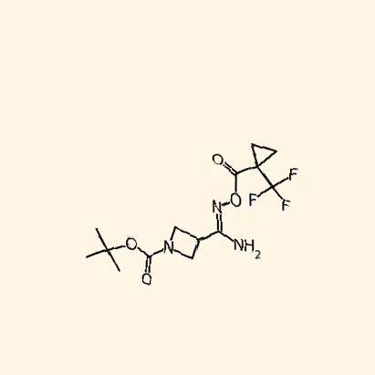 CC(C)(C)OC(=O)N1CC(/C(N)=N/OC(=O)C2(C(F)(F)F)CC2)C1